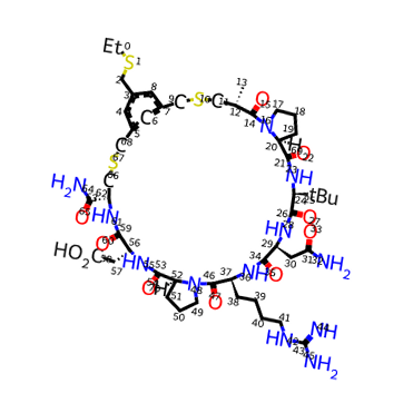 CCSCc1cc2cc(c1)CSC[C@H](C)C(=O)N1CCC[C@H]1C(=O)N[C@@H](C(C)(C)C)C(=O)N[C@@H](CC(N)=O)C(=O)N[C@@H](CCCCNC(=N)N)C(=O)N1CCC[C@H]1C(=O)N[C@H](CC(=O)O)C(=O)N[C@H](C(N)=O)CSC2